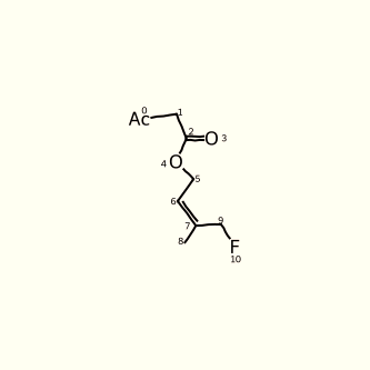 CC(=O)CC(=O)OCC=C(C)CF